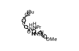 COC1CCN(c2nccc(Nc3cc(NC(C)C)c(NC(=O)c4ccc(CN5CCN(CCO[Si](C)(C)C(C)(C)C)CC5)cc4)cn3)n2)CC1